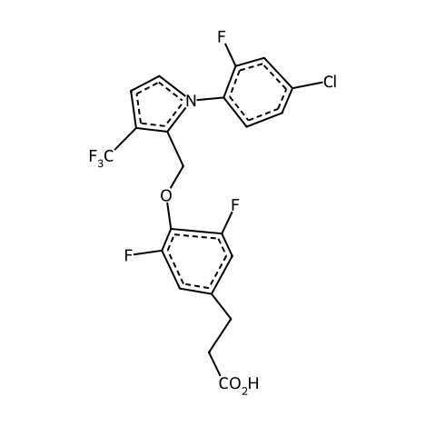 O=C(O)CCc1cc(F)c(OCc2c(C(F)(F)F)ccn2-c2ccc(Cl)cc2F)c(F)c1